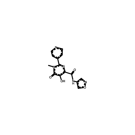 Cn1c(-c2ccncc2)nc(C(=O)Nc2cnoc2)c(O)c1=O